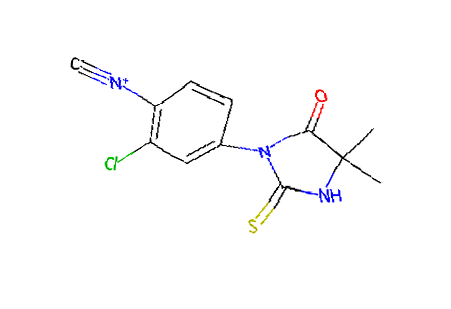 [C-]#[N+]c1ccc(N2C(=O)C(C)(C)NC2=S)cc1Cl